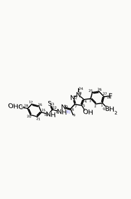 Bc1cc(-c2c(O)c(/C(C)=N/NC(=S)Nc3ccc(C=O)cc3)nn2C)ccc1F